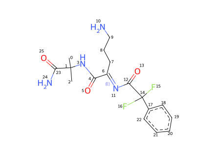 CC(C)(NC(=O)/C(CCCN)=N/C(=O)C(F)(F)c1ccccc1)C(N)=O